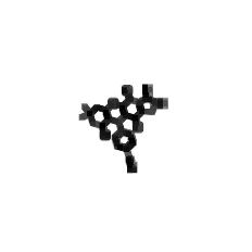 CC1(C)CC(=O)C2=C(C1)OC1=C(C(=O)C3=C(NNC3)C1=O)C2c1ccc(C#N)cc1